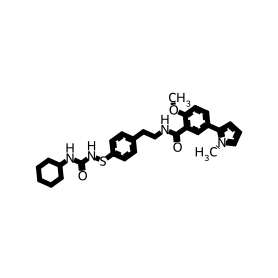 COc1ccc(-c2cccn2C)cc1C(=O)NCCc1ccc(SNC(=O)NC2CCCCC2)cc1